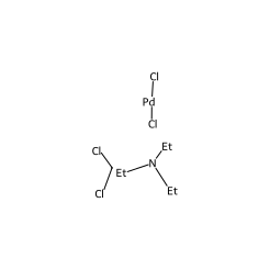 CCN(CC)CC.ClCCl.[Cl][Pd][Cl]